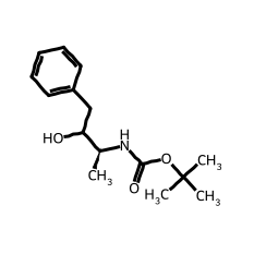 C[C@H](NC(=O)OC(C)(C)C)C(O)Cc1ccccc1